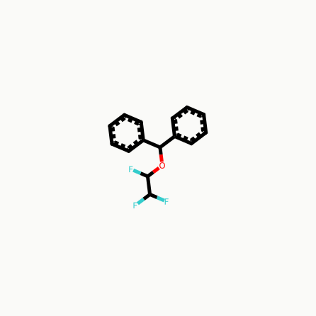 FC(F)C(F)OC(c1ccccc1)c1ccccc1